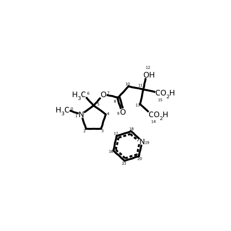 CN1CCCC1(C)OC(=O)CC(O)(CC(=O)O)C(=O)O.c1ccncc1